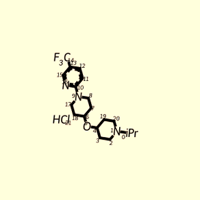 CC(C)N1CCC(OC2CCN(c3ccc(C(F)(F)F)cn3)CC2)CC1.Cl